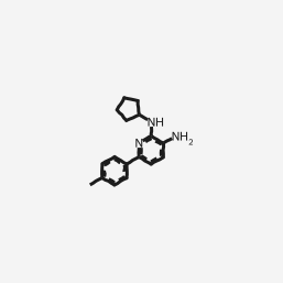 Cc1ccc(-c2ccc(N)c(NC3CCCC3)n2)cc1